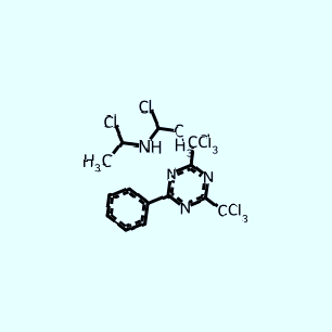 CC(Cl)NC(C)Cl.ClC(Cl)(Cl)c1nc(-c2ccccc2)nc(C(Cl)(Cl)Cl)n1